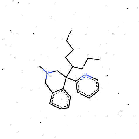 CCCCC(CCC)C1(c2ccccn2)CN(C)Cc2ccccc21